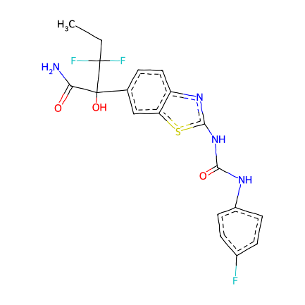 CCC(F)(F)C(O)(C(N)=O)c1ccc2nc(NC(=O)Nc3ccc(F)cc3)sc2c1